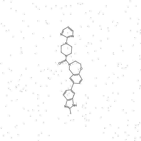 Cc1nc2ccc(-c3ccc4c(c3)CN(C(=O)N3CCN(c5ncccn5)CC3)CCO4)cc2[nH]1